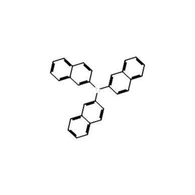 c1ccc2cc(N(c3ccc4ccccc4c3)c3ccc4ccccc4c3)ccc2c1